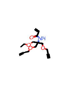 C#CCOCC(COCC)(COCC#C)NC(=O)C=C